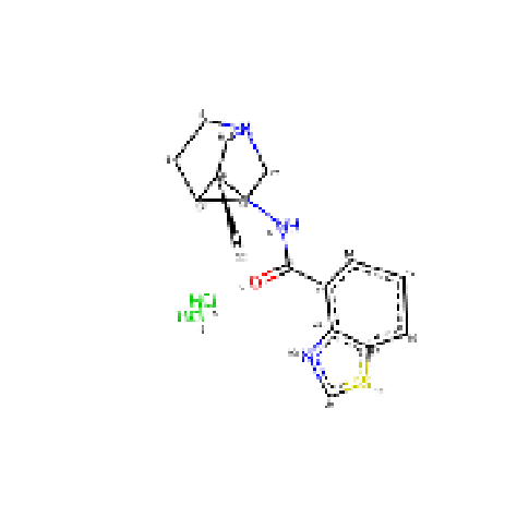 Cl.Cl.O=C(N[C@H]1CN2CCC1CC2)c1cccc2scnc12